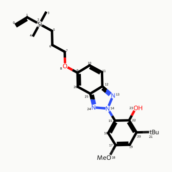 C=C[Si](C)(C)CCCOc1ccc2nn(-c3cc(OC)cc(C(C)(C)C)c3O)nc2c1